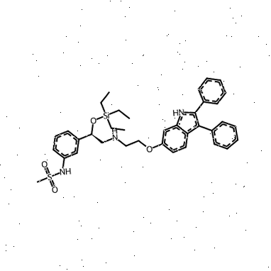 CC[Si](CC)(CC)O[C@@H](CNCCOc1ccc2c(-c3ccccc3)c(-c3ccccc3)[nH]c2c1)c1cccc(NS(C)(=O)=O)c1